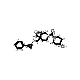 COCC1(CN[C@@H]2C[C@H]2c2ccccc2)CCN(C(=O)N2CCC(O)CC2)CC1